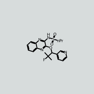 CCCS(=O)(=O)Nc1nc2ccccc2nc1OC(c1cccnc1)C(C)(C)F